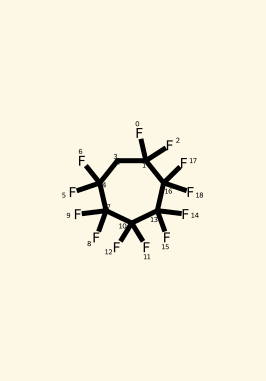 FC1(F)[C]C(F)(F)C(F)(F)C(F)(F)C(F)(F)C1(F)F